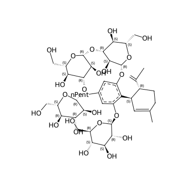 C=C(C)[C@@H]1CCC(C)=C[C@H]1c1c(O[C@H]2O[C@@H](CO)[C@H](O)[C@@H](O[C@H]3O[C@@H](CO)[C@H](O)[C@@H](O[C@H]4O[C@@H](CO)[C@H](O)[C@@H](O)[C@@H]4O)[C@@H]3O)[C@@H]2O)cc(CCCCC)cc1O[C@@H]1O[C@H](CO)[C@@H](O)[C@H](O)[C@H]1O